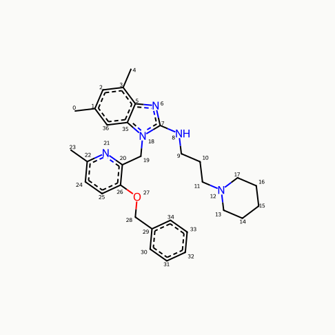 Cc1cc(C)c2nc(NCCCN3CCCCC3)n(Cc3nc(C)ccc3OCc3ccccc3)c2c1